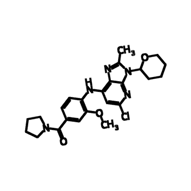 COc1cc(C(=O)N2CCCC2)ccc1Nc1cc(Cl)nc2c1nc(C)n2C1CCCCO1